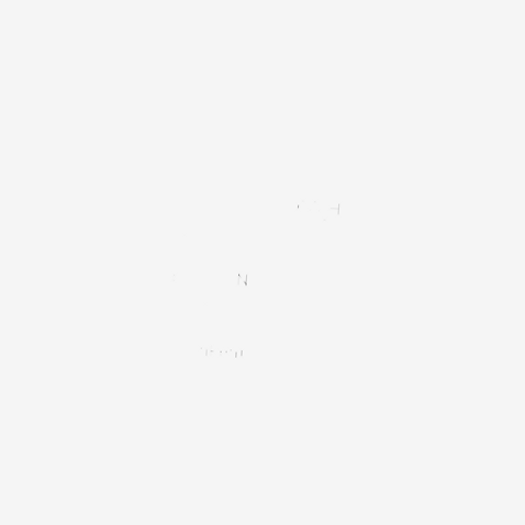 CCCCCc1nc(CC(=O)O)c(C)o1